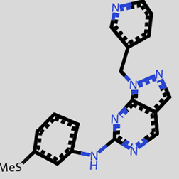 CSc1cccc(Nc2ncc3cnn(Cc4cccnc4)c3n2)c1